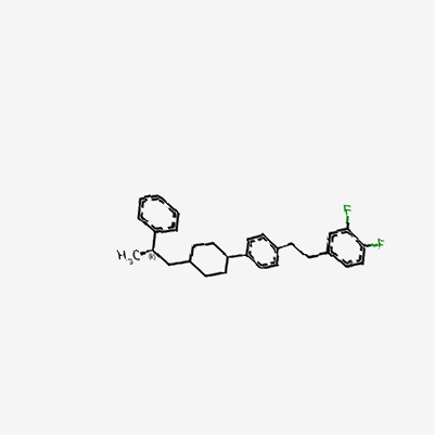 C[C@H](CC1CCC(c2ccc(CCc3ccc(F)c(F)c3)cc2)CC1)c1ccccc1